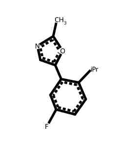 Cc1ncc(-c2cc(F)ccc2C(C)C)o1